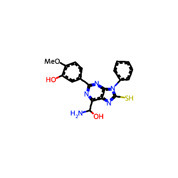 COc1ccc(-c2nc(C(N)O)c3nc(S)n(-c4ccccc4)c3n2)cc1O